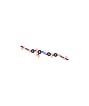 C=CC(=O)OCCCCOc1ccc(C(=O)Oc2ccc(/C=N/N=C/c3ccc(OC(=O)c4ccc(OCCCCOC(=O)C=C)cc4)c(C(=O)OC)c3)cc2)cc1